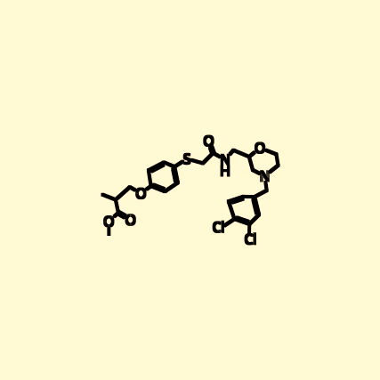 COC(=O)C(C)COc1ccc(SCC(=O)NCC2CN(Cc3ccc(Cl)c(Cl)c3)CCO2)cc1